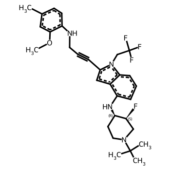 COc1cc(C)ccc1NCC#Cc1cc2c(N[C@@H]3CCN(C(C)(C)C)C[C@@H]3F)cccc2n1CC(F)(F)F